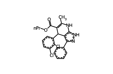 CCCOC(=O)C1=C(C)Nc2[nH]nc(-c3ccccc3)c2C1c1cccc(Cl)c1Cl